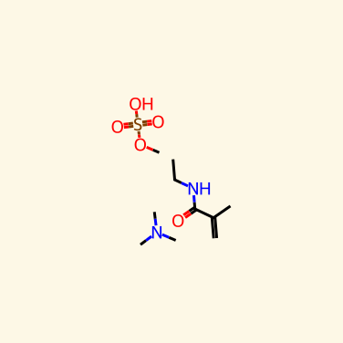 C=C(C)C(=O)NCC.CN(C)C.COS(=O)(=O)O